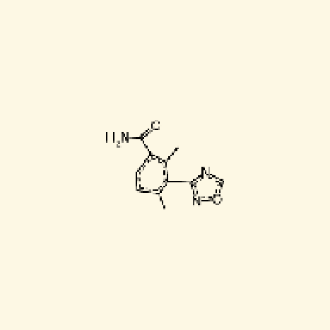 Cc1ccc(C(N)=O)c(C)c1-c1ncon1